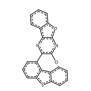 Clc1nc2oc3ccccc3c2nc1-c1cccc2sc3ccccc3c12